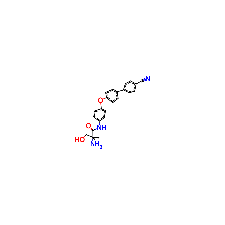 C[C@@](N)(CO)C(=O)Nc1ccc(Oc2ccc(-c3ccc(C#N)cc3)cc2)cc1